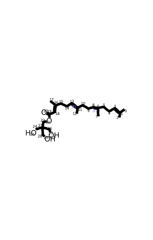 CC(C)=CCC/C(C)=C/CC/C(C)=C/CCC(C)=CC(=O)OCC(CO)(CO)CO